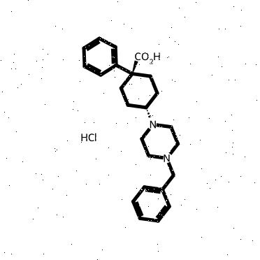 Cl.O=C(O)[C@]1(c2ccccc2)CC[C@@H](N2CCN(Cc3ccccc3)CC2)CC1